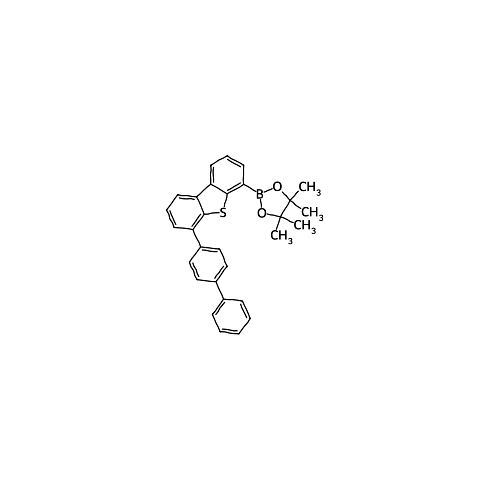 CC1(C)OB(c2cccc3c2sc2c(-c4ccc(-c5ccccc5)cc4)cccc23)OC1(C)C